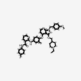 CCN1CCC(COc2nn(Cc3ccc(OC)cc3)c3nccc(Oc4ccc(Nc5ncccc5C(=O)Nc5ccc(F)cc5)cc4F)c23)CC1